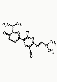 CC(C)n1nc(-c2nc(C#N)c(N=CN(C)C)nc2Cl)ccc1=O